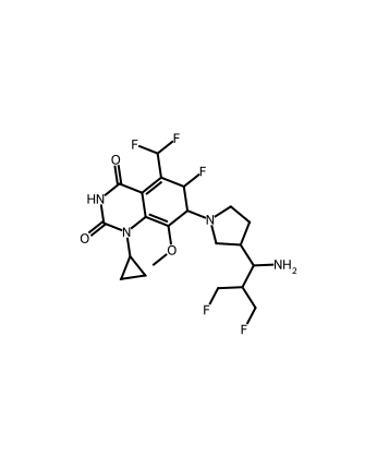 COC1=c2c(c(=O)[nH]c(=O)n2C2CC2)=C(C(F)F)C(F)C1N1CCC(C(N)C(CF)CF)C1